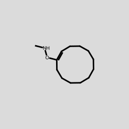 CNOC1=CCCCCCCCCCC1